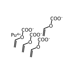 C=COC(=O)[O-].C=COC(=O)[O-].C=COC(=O)[O-].C=COC(=O)[O-].[Pu+4]